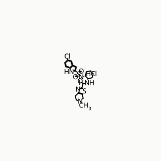 CN1CCc2nc(C(=O)N[C@@H]3CCCC[C@@H]3NS(=O)(=O)c3cc4cc(Cl)ccc4[nH]3)sc2C1.Cl